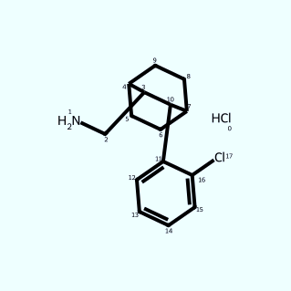 Cl.NCC1C2CCC(CC2)C1c1ccccc1Cl